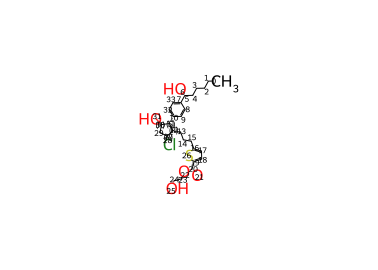 CCCCCC(O)c1ccc([C@@H]2[C@@H](CCCc3ccc(C(=O)OCCO)s3)[C@H](Cl)C[C@H]2O)cc1